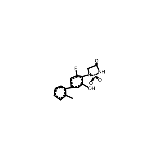 Cc1ccccc1-c1cc(O)c(N2CC(=O)NS2(=O)=O)c(F)c1